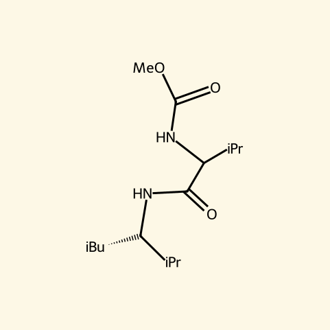 CC[C@@H](C)C(NC(=O)C(NC(=O)OC)C(C)C)C(C)C